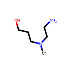 CCN(CCN)CCCO